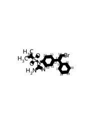 CC(C)S(=O)(=O)n1c(N)nc2cc(C(=CBr)c3ccccc3)ccc21